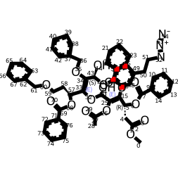 COC(=O)C[C@@H](OC(=O)c1ccccc1)/C(OC(=O)c1ccccc1)=C(\OC(C)=O)[C@@H](O)O/C(=C(/OCc1ccccc1)[C@@H](O)Oc1ccc(CCN=[N+]=[N-])cc1)[C@H](CCOCc1ccccc1)OC(=O)c1ccccc1